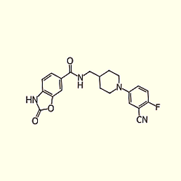 N#Cc1cc(N2CCC(CNC(=O)c3ccc4[nH]c(=O)oc4c3)CC2)ccc1F